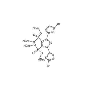 CCCCCCCCCCOP(=O)(OCCCCCCCCCC)c1c(-c2ccc(Br)s2)sc(-c2ccc(Br)s2)c1P(=O)(OCCCCCCCCCC)OCCCCCCCCCC